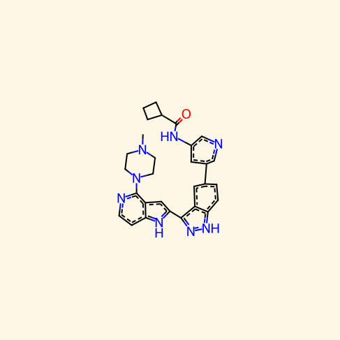 CN1CCN(c2nccc3[nH]c(-c4n[nH]c5ccc(-c6cncc(NC(=O)C7CCC7)c6)cc45)cc23)CC1